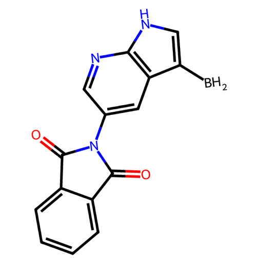 Bc1c[nH]c2ncc(N3C(=O)c4ccccc4C3=O)cc12